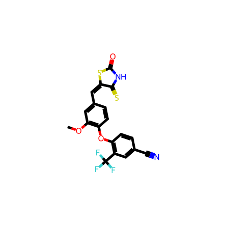 COc1cc(C=C2SC(=O)NC2=S)ccc1Oc1ccc(C#N)cc1C(F)(F)F